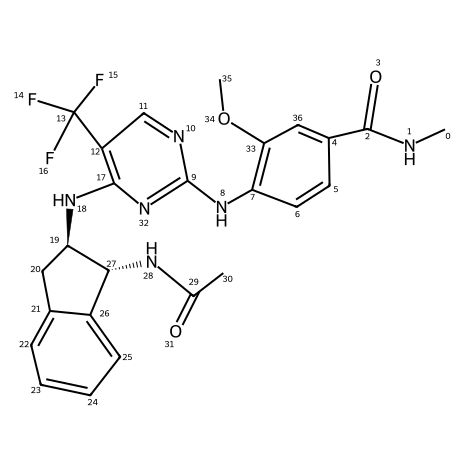 CNC(=O)c1ccc(Nc2ncc(C(F)(F)F)c(N[C@@H]3Cc4ccccc4[C@H]3NC(C)=O)n2)c(OC)c1